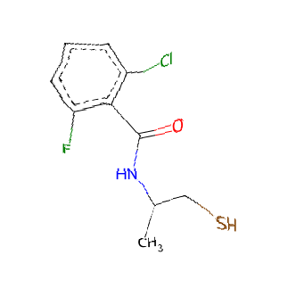 CC(CS)NC(=O)c1c(F)cccc1Cl